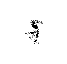 CCCOCCCN(CCOc1ccc(CC(OCC)C(=O)O)cc1)C(=O)NC(C)CC